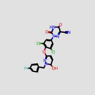 N#Cc1nn(-c2cc(Cl)c(OC3=NN(Cc4ccc(F)cc4)C(O)C=C3)c(Cl)c2)c(=O)[nH]c1=O